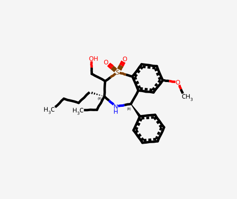 CCCC[C@@]1(CC)N[C@H](c2ccccc2)c2cc(OC)ccc2S(=O)(=O)C1CO